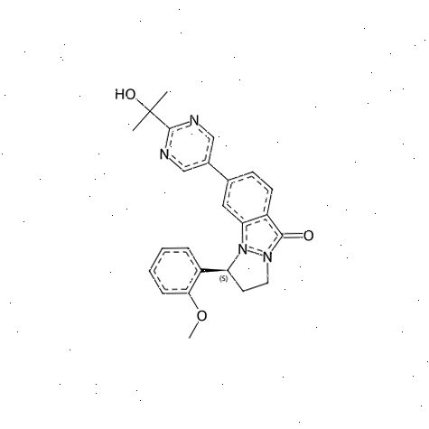 COc1ccccc1[C@@H]1CCn2c(=O)c3ccc(-c4cnc(C(C)(C)O)nc4)cc3n21